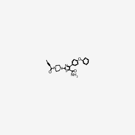 CC#CC(=O)N1CCN(c2nc(-c3ccc(Oc4ccccc4)cc3)c(C(N)=O)s2)CC1